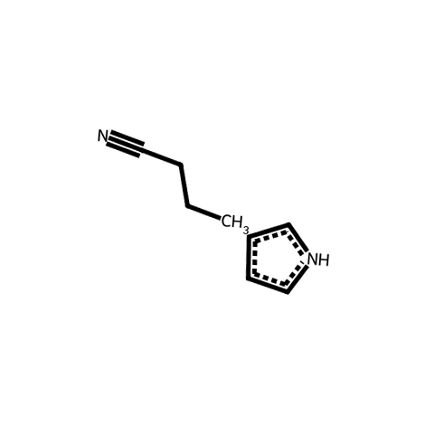 CCCC#N.c1cc[nH]c1